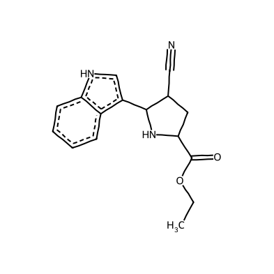 CCOC(=O)C1CC(C#N)C(c2c[nH]c3ccccc23)N1